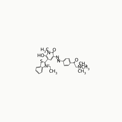 CC[n+]1c(-c2cc(N=Nc3ccc(C(=O)C[N+](C)(C)C)cc3)c(=O)n(C)c2O)sc2ccccc21